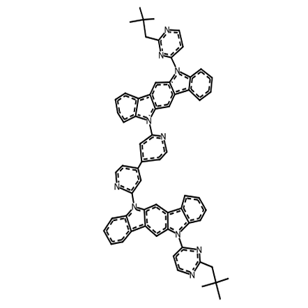 CC(C)(C)Cc1nccc(-n2c3ccccc3c3cc4c(cc32)c2ccccc2n4-c2cc(-c3ccnc(-n4c5ccccc5c5cc6c(cc54)c4ccccc4n6-c4ccnc(CC(C)(C)C)n4)c3)ccn2)n1